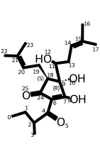 CCC(C)C(=O)C1=C(O)[C@](O)(C(O)CC=C(C)C)[C@H](CC=C(C)C)C1=O